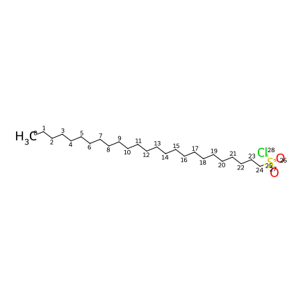 CCCCCCCCCCCCCCCCCCCCCCCCCS(=O)(=O)Cl